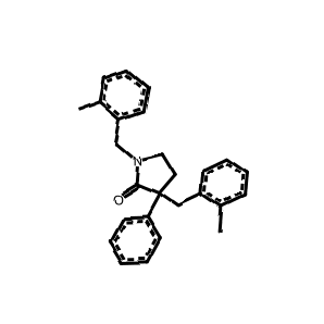 Cc1ccccc1CN1CCC(Cc2ccccc2C)(c2ccccc2)C1=O